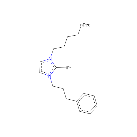 CCCCCCCCCCCCCCn1cc[n+](CCCc2ccccc2)c1C(C)C